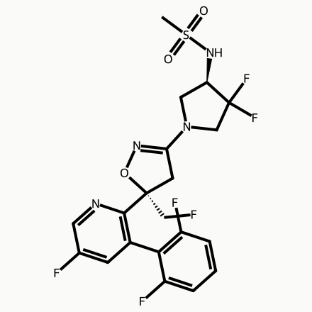 CS(=O)(=O)N[C@@H]1CN(C2=NO[C@](CF)(c3ncc(F)cc3-c3c(F)cccc3F)C2)CC1(F)F